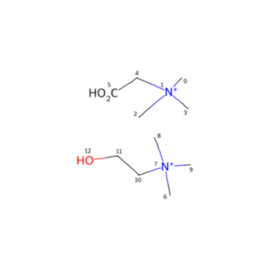 C[N+](C)(C)CC(=O)O.C[N+](C)(C)CCO